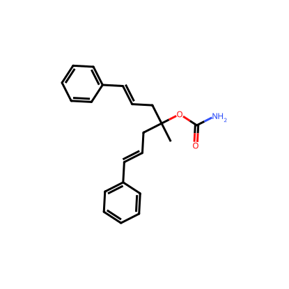 CC(CC=Cc1ccccc1)(CC=Cc1ccccc1)OC(N)=O